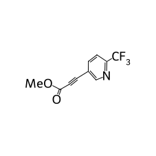 COC(=O)C#Cc1ccc(C(F)(F)F)nc1